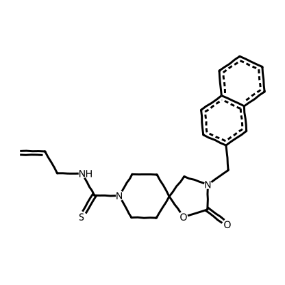 C=CCNC(=S)N1CCC2(CC1)CN(Cc1ccc3ccccc3c1)C(=O)O2